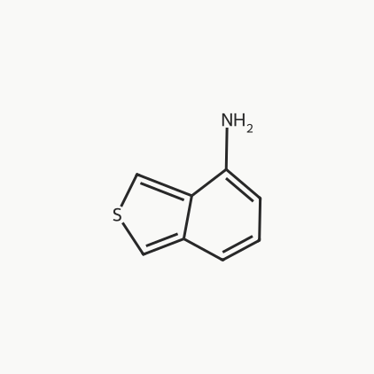 Nc1cccc2cscc12